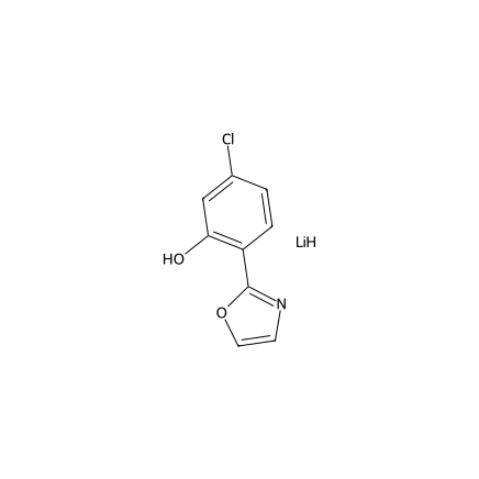 Oc1cc(Cl)ccc1-c1ncco1.[LiH]